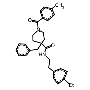 CCc1ccc(CCNC(=O)C2(Cc3ccccc3)CCN(C(=O)c3ccc(C)cc3)CC2)cc1